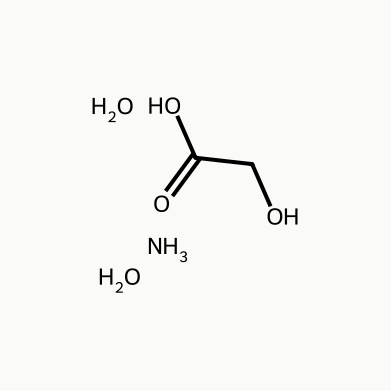 N.O.O.O=C(O)CO